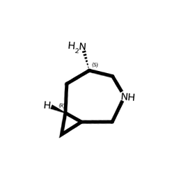 N[C@@H]1CNCC2C[C@@H]2C1